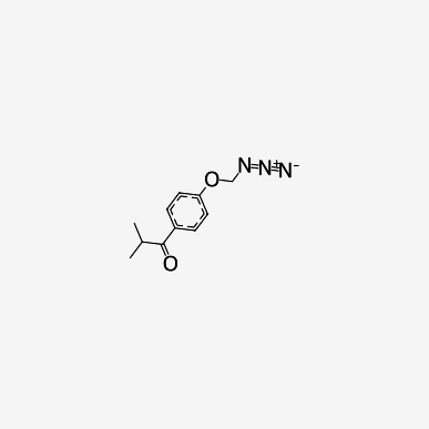 CC(C)C(=O)c1ccc(OCN=[N+]=[N-])cc1